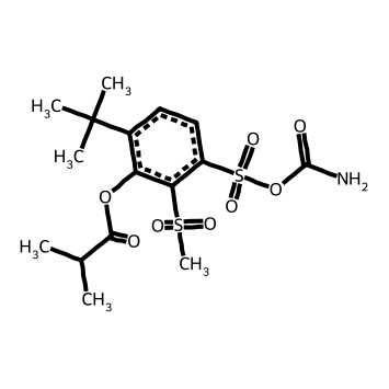 CC(C)C(=O)Oc1c(C(C)(C)C)ccc(S(=O)(=O)OC(N)=O)c1S(C)(=O)=O